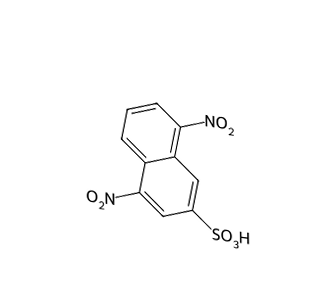 O=[N+]([O-])c1cc(S(=O)(=O)O)cc2c([N+](=O)[O-])cccc12